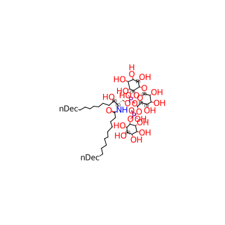 CCCCCCCCCCCCCCCCCCCC(=O)N[C@@H](COP(=O)(O)O[C@H]1C(O)C(O)C(O)[C@@H](O)C1O[C@H]1O[C@H](COP(=O)(O)OC2C(O)C(O)C(O)[C@@H](O)C2O)[C@@H](O)C(O)C1O)[C@H](O)CCCCCCCCCCCCCCCCC